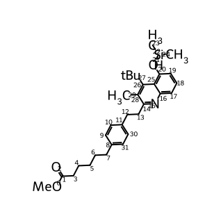 COC(=O)CCCCCc1ccc(CCc2nc3cccc(O[SiH](C)C)c3c(C(C)(C)C)c2C)cc1